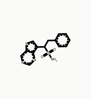 NS(=O)(=O)C(Cc1ccccc1)c1csc2cncnc12